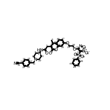 Cc1c(CC(=O)NN2CCN(Cc3ccc(C#N)cc3)CC2)c(=O)oc2cc(OCCOc3no[n+]([O-])c3S(=O)(=O)c3ccccc3)ccc12